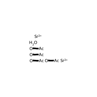 CC(=O)[O-].CC(=O)[O-].CC(=O)[O-].CC(=O)[O-].O.[Sr+2].[Sr+2]